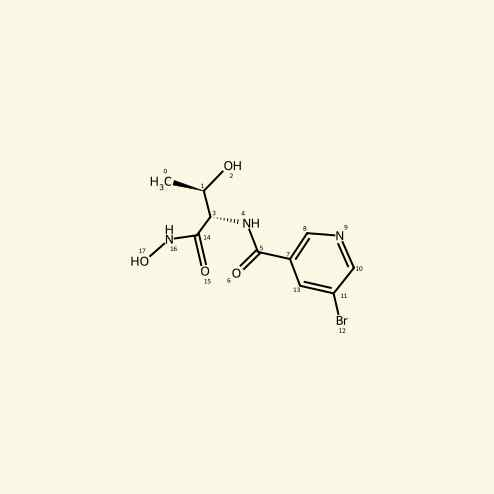 C[C@@H](O)[C@H](NC(=O)c1cncc(Br)c1)C(=O)NO